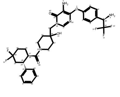 Nc1c(Oc2ccc([C@@H](N)C(F)(F)F)cc2)ncn(CC2(O)CCN(C(=O)[C@@H]3CCC(F)(F)C[C@H]3c3ccccc3)CC2)c1=O